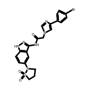 O=C(Cn1cnc(-c2ccc(Br)cc2)c1)Nc1n[nH]c2ccc(N3CCCS3(=O)=O)cc12